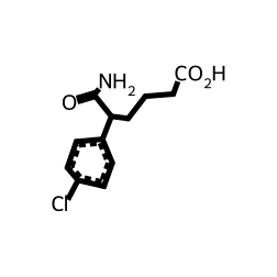 NC(=O)C(CCCC(=O)O)c1ccc(Cl)cc1